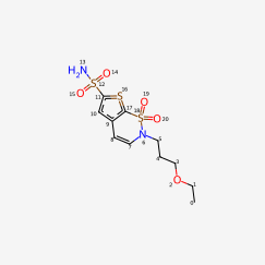 CCOCCCN1C=Cc2cc(S(N)(=O)=O)sc2S1(=O)=O